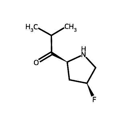 CC(C)C(=O)[C@@H]1C[C@H](F)CN1